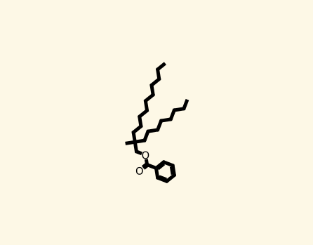 CCCCCCCCCCC(C)(CCCCCCCC)COC(=O)c1ccccc1